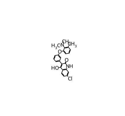 Cc1cccc(Oc2cccc(-c3c(O)c4ccc(Cl)cc4[nH]c3=O)c2)c1N(C)C